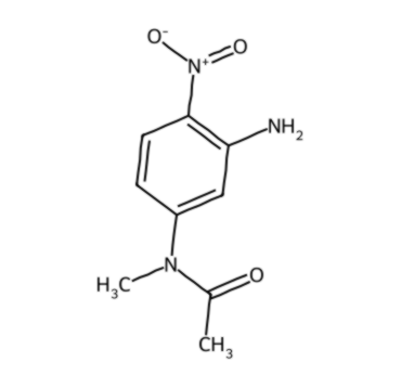 CC(=O)N(C)c1ccc([N+](=O)[O-])c(N)c1